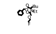 CCC(C)C(C(=O)OCc1ccccc1)N(CC)C(=O)COCCF